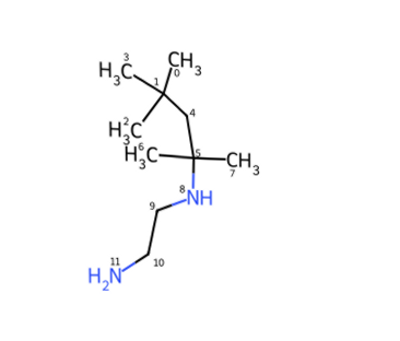 CC(C)(C)CC(C)(C)NCCN